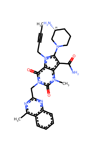 CC#CCn1c(N2CCC[C@@H](N)C2)c(C(N)=O)c2c1c(=O)n(Cc1nc(C)c3ccccc3n1)c(=O)n2C